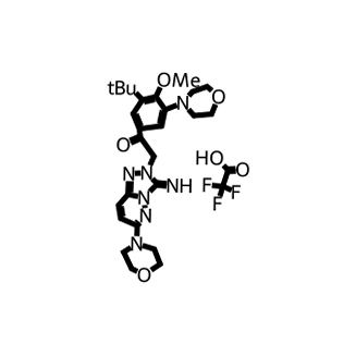 COc1c(N2CCOCC2)cc(C(=O)Cn2nc3ccc(N4CCOCC4)nn3c2=N)cc1C(C)(C)C.O=C(O)C(F)(F)F